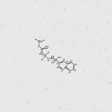 CP(C)CC(=O)OC(C)(C)COC(C)(C)c1ccc2ccccc2c1